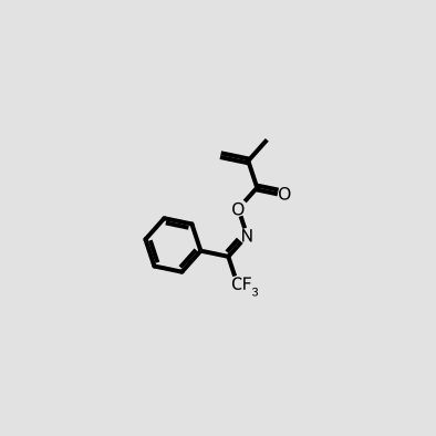 C=C(C)C(=O)O/N=C(\c1ccccc1)C(F)(F)F